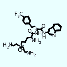 C[N+](CCN)(CCN)CCC[C@H](N)C(=O)N[C@H](CCc1ccc(C(F)(F)F)cc1)C(=O)Nc1cnc2ccccc2c1